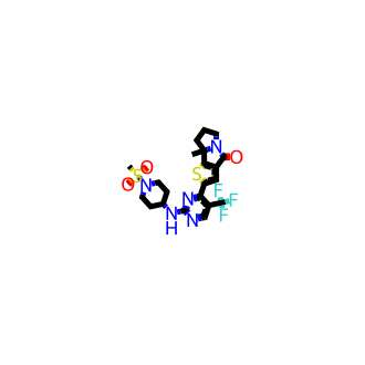 CC12CCCN1C(=O)c1cc(-c3nc(NC4CCN(S(C)(=O)=O)CC4)ncc3C(F)(F)F)sc12